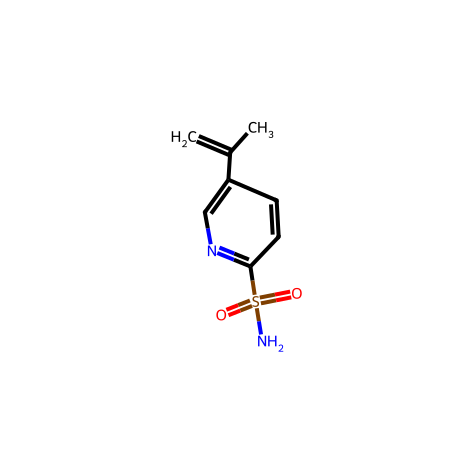 C=C(C)c1ccc(S(N)(=O)=O)nc1